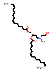 CCCCC/C=C\CCCC/C=C\CCCCC(=O)OC[C@H](CCN(CCC)CCO)OC(=O)CCCC/C=C\CCCC/C=C\CCCCC